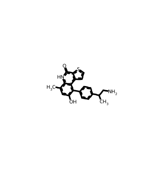 Cc1cc(O)c(-c2ccc(C(C)CN)cc2)c2c1[nH]c(=O)c1sccc12